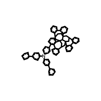 c1ccc(-c2ccc(N(c3ccc(-c4ccccc4)cc3)c3ccc(-c4cccc5c4-c4ccccc4C4CC67CC(CC89CCC(CC5(C4)C86)c4ccccc4-c4ccccc49)c4ccccc4-c4ccccc47)cc3)cc2)cc1